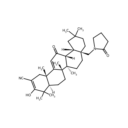 CC1(C)CC[C@]2(CN3CCCC3=O)CC[C@]3(C)[C@H](C(=O)C=C4[C@@]5(C)CC(C#N)=C(O)C(C)(C)[C@@H]5CC[C@]43C)[C@@H]2C1